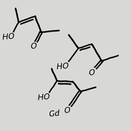 CC(=O)C=C(C)O.CC(=O)C=C(C)O.CC(=O)C=C(C)O.[Gd]